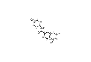 CC1Cc2cc(C(=O)NC3CC[S+]([O-])CC3)ccc2N(C)C1